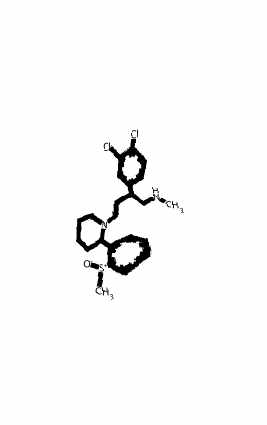 CNCC(CCN1CCCCC1c1ccccc1[S+](C)[O-])c1ccc(Cl)c(Cl)c1